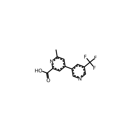 Cc1cc(-c2cncc(C(F)(F)F)c2)cc(C(=O)O)n1